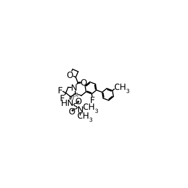 Cc1cccc(-c2cccc(C[C@H]3[C@@H](NS(=O)(=O)N(C)C)C(F)(F)CN3C(=O)C3CCO3)c2F)c1